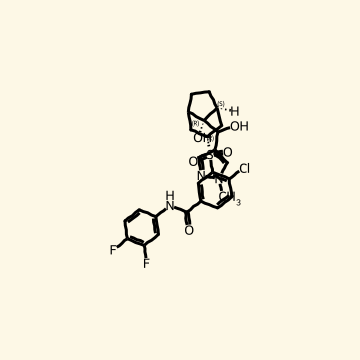 Cn1cc(C(O)[C@@]2(O)C3CC[C@H]2C[C@H](S(=O)(=O)c2cc(C(=O)Nc4ccc(F)c(F)c4)ccc2Cl)C3)cn1